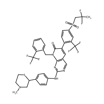 CN1CCSC(c2ccc(Nc3ncc4cc(-c5ccc(S(=O)(=O)CC(C)(F)F)cc5C(F)(F)F)c(=O)n(Cc5ccccc5C(F)(F)F)c4n3)cc2)C1